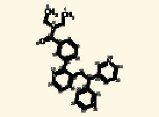 CCN(CC)C(=O)c1cccc(-c2ncccc2CC(c2cccnc2)c2cccnc2)c1